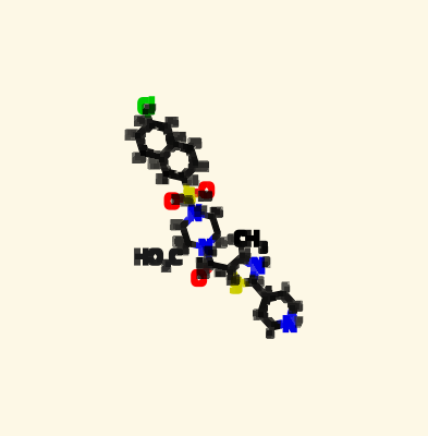 Cc1nc(-c2ccncc2)sc1C(=O)N1CCN(S(=O)(=O)c2ccc3cc(Cl)ccc3c2)CC1C(=O)O